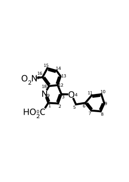 O=C(O)c1cc(OCc2ccccc2)c2cccc([N+](=O)[O-])c2n1